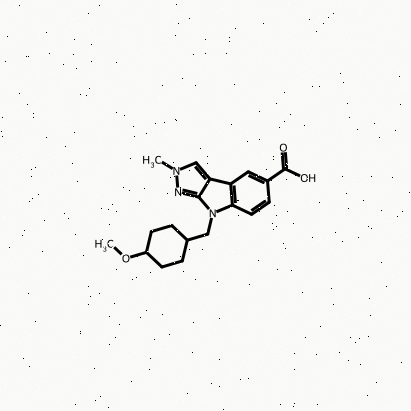 COC1CCC(Cn2c3ccc(C(=O)O)cc3c3cn(C)nc32)CC1